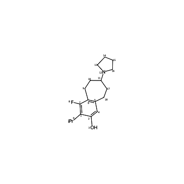 CC(C)c1c(O)cc2c(c1F)CCC(N1CCCC1)CC2